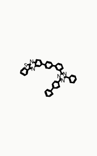 c1ccc(-c2ccc(-c3nc(-c4ccccc4)nc(-c4cccc(-c5ccc(-c6ccc7nc8sc9ccccc9c8nc7c6)cc5)c4)n3)cc2)cc1